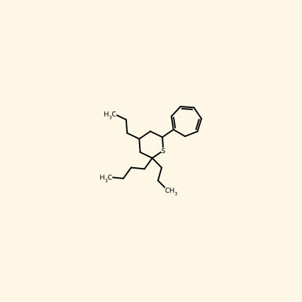 CCCCC1(CCC)CC(CCC)CC(C2=CC=CC=CC2)S1